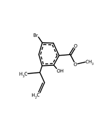 C=CC(C)c1cc(Br)cc(C(=O)OC)c1O